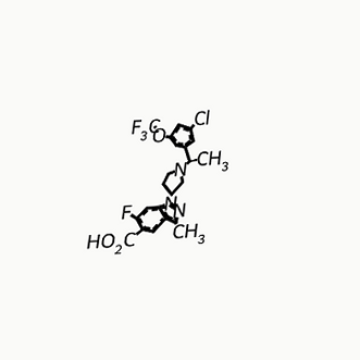 Cc1nn([C@@H]2CCN([C@H](C)c3cc(Cl)cc(OC(F)(F)F)c3)C2)c2cc(F)c(C(=O)O)cc12